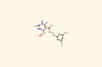 CC1=C(C(=O)OCCc2cc(F)cc(F)c2)C(CO)NC(=S)N1